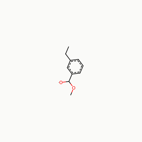 CCc1cccc(C([O])OC)c1